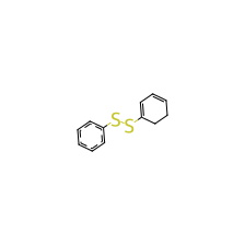 C1=CCCC(SSc2ccccc2)=C1